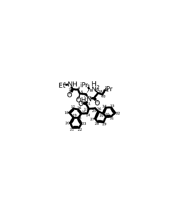 CCNC(=O)C[C@H](O)[C@H](CC(C)C)N(C(=O)C(Cc1cccc2ccccc12)Cc1cccc2ccccc12)C(=O)[C@@H](N)CC(C)C